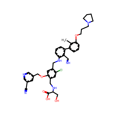 Cc1c(OCCCN2CCCC2)cccc1-c1cccc(NCc2cc(OCc3cncc(C#N)c3)c(CNC(CO)C(=O)O)cc2Cl)c1C=N